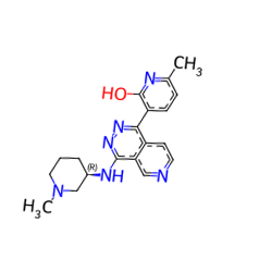 Cc1ccc(-c2nnc(N[C@@H]3CCCN(C)C3)c3cnccc23)c(O)n1